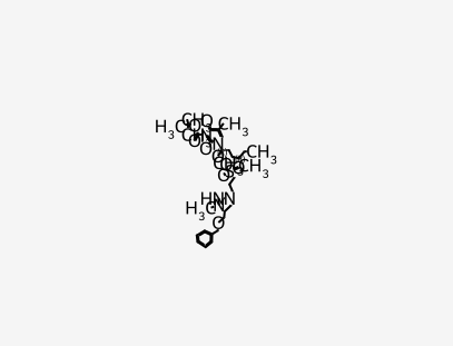 CC[C@@H](C)C(C[C@@H](OC)n1cc(C)c(=O)n(C(=O)OC(C)(C)C)c1=O)OS(=O)(=O)CCCN1CC(COCc2ccccc2)N(C)N1